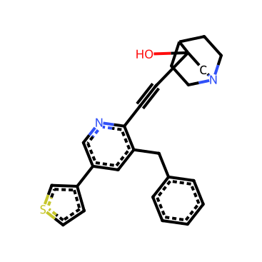 OC1(C#Cc2ncc(-c3ccsc3)cc2Cc2ccccc2)CN2CCC1CC2